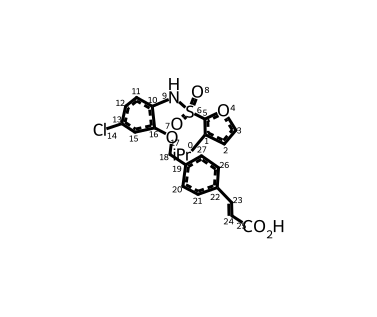 CC(C)c1ccoc1S(=O)(=O)Nc1ccc(Cl)cc1OCc1ccc(/C=C/C(=O)O)cc1